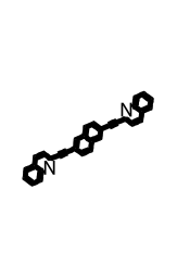 C(#Cc1ccc2ccccc2n1)c1ccc2cc(C#Cc3ccc4ccccc4n3)ccc2c1